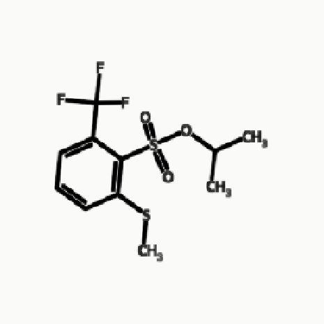 CSc1cccc(C(F)(F)F)c1S(=O)(=O)OC(C)C